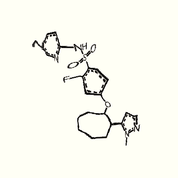 Cn1nccc1C1CCCCCC1Oc1ccc(S(=O)(=O)Nc2ccncn2)c(F)c1